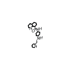 O=C(Nc1ccc(NCCc2ccccn2)cc1)c1cccc2cccnc12